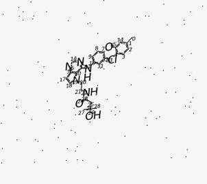 Cc1cccc(Oc2ccc(Nc3ncnc4ccn(CCNC(=O)CC(C)(C)O)c34)cc2Cl)c1